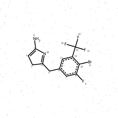 NC1=CCC(Cc2cc(F)c(Br)c(C(F)(F)F)c2)=N1